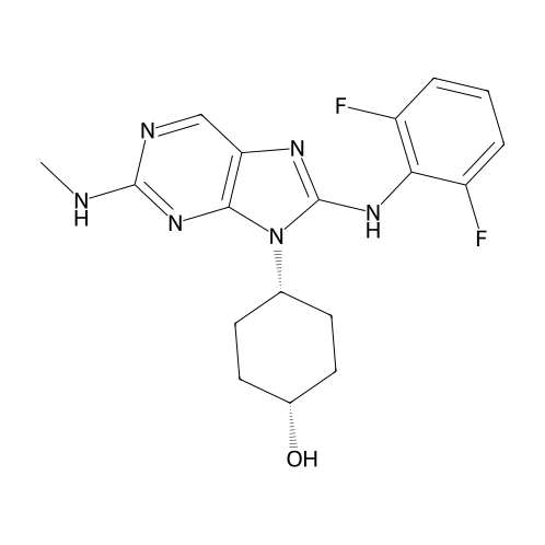 CNc1ncc2nc(Nc3c(F)cccc3F)n([C@H]3CC[C@@H](O)CC3)c2n1